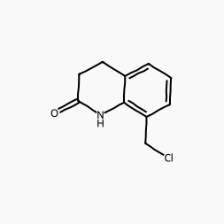 O=C1CCc2cccc(CCl)c2N1